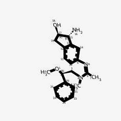 CO[C@@H](CN(C)C(C)=Nc1ccc2c(c1)[C@@H](N)[C@H](O)C2)c1ccccc1